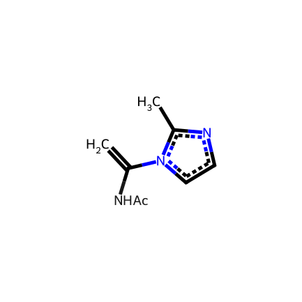 C=C(NC(C)=O)n1ccnc1C